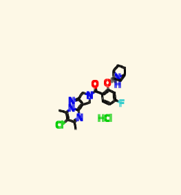 Cc1nc2c3c(nn2c(C)c1Cl)CN(C(=O)c1ccc(F)cc1O[C@H]1CC2CCC1N2)C3.Cl